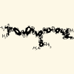 C=CC(=O)OCC(COc1ccc(OC(=O)C2CCC(C(=O)OCCc3ccc(OC(=O)C4CCC(C(=O)Oc5ccc(OCC(COC(=O)C=C)OC(=O)C=C)cc5)CC4)c4nc([C@H]5Cc6c(C)cc(C)cc6O5)sc34)CC2)cc1)OC(=O)C=C